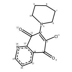 O=C1C(Cl)=C(N2CCCCC2)C(=O)c2ncccc21